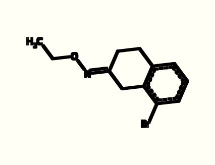 CCON=C1CCc2cccc(Br)c2C1